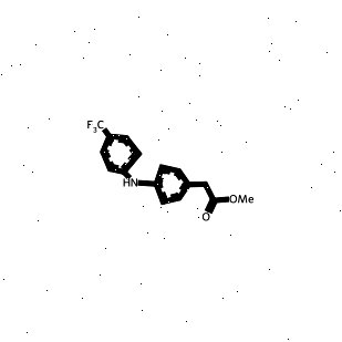 COC(=O)Cc1ccc(Nc2ccc(C(F)(F)F)cc2)cc1